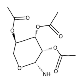 CC(=O)O[C@@H]1[C@H](OC(C)=O)[C@H]([NH])OC[C@H]1OC(C)=O